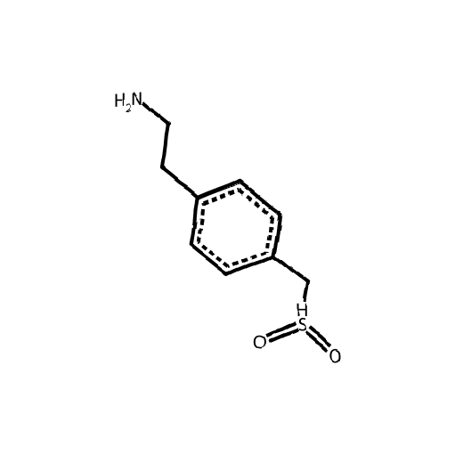 NCCc1ccc(C[SH](=O)=O)cc1